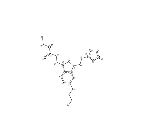 CCCCc1ccc2c(c1)C(CCn1ccnc1)CN2CCC(=O)OCC